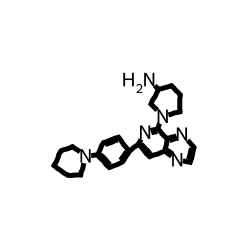 NC1CCCN(c2nc(-c3ccc(N4CCCCC4)cc3)cc3nccnc23)C1